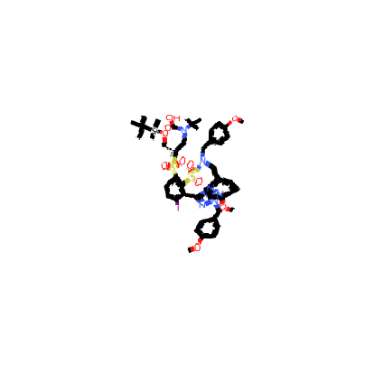 COc1ccc(CN(Cc2ccc(OC)cc2)S(=O)(=O)c2c(S(=O)(=O)[C@H](CO[Si](C)(C)C(C)(C)C)CN(C(=O)O)C(C)(C)C)ccc(I)c2-c2nnn(Cc3ccc(OC)cc3)n2)cc1